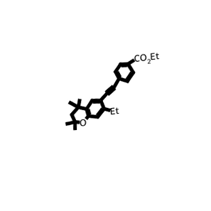 CCOC(=O)c1ccc(C#Cc2cc3c(cc2CC)OC(C)(C)CC3(C)C)cc1